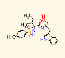 CCC(C)[C@H](NS(=O)(=O)c1ccc(C)cc1)C(=O)N[C@H](CO)Cc1c[nH]c2ccccc12